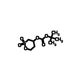 CC(C)(C)OC(=O)OC1CCOS(=O)(=O)C1